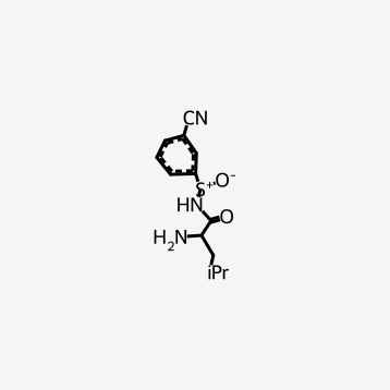 CC(C)CC(N)C(=O)N[S+]([O-])c1cccc(C#N)c1